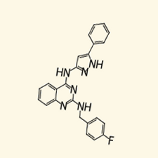 Fc1ccc(CNc2nc(Nc3cc(-c4ccccc4)[nH]n3)c3ccccc3n2)cc1